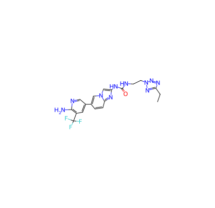 CCc1nnn(CCNC(=O)Nc2cn3cc(-c4cnc(N)c(C(F)(F)F)c4)ccc3n2)n1